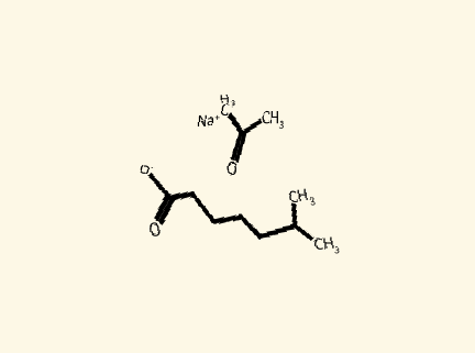 CC(C)=O.CC(C)CCCCC(=O)[O-].[Na+]